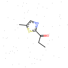 CCC(=O)c1ncc(C)s1